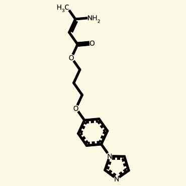 C/C(N)=C/C(=O)OCCCOc1ccc(-n2ccnc2)cc1